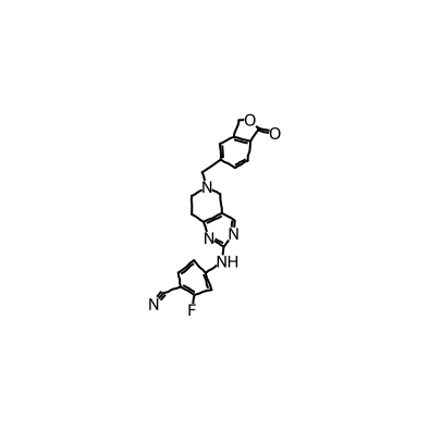 N#Cc1ccc(Nc2ncc3c(n2)CCN(Cc2ccc4c(c2)COC4=O)C3)cc1F